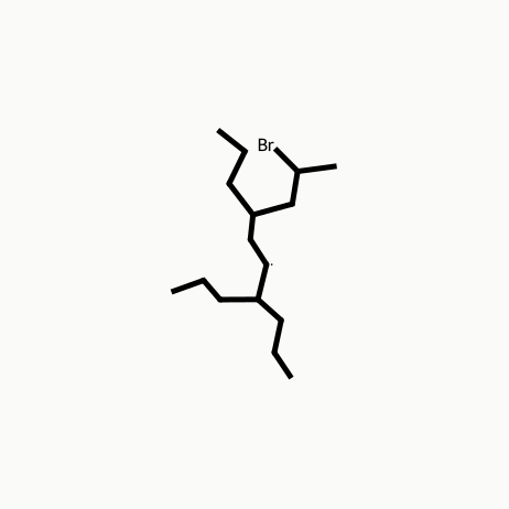 CCCC([CH]CC(CCC)CC(C)Br)CCC